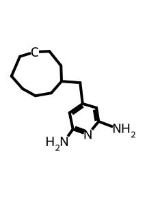 Nc1cc(CC2CCCCCCCC2)cc(N)n1